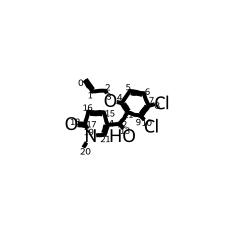 C=CCOc1ccc(Cl)c(Cl)c1C(O)c1ccc(=O)n(C)c1